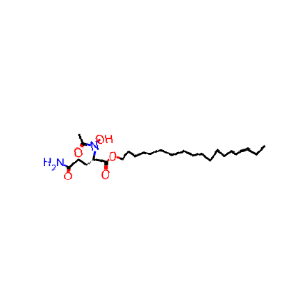 CCCCCCCCCCCCCCCCCCOC(=O)[C@H](CCC(N)=O)N(O)C(C)=O